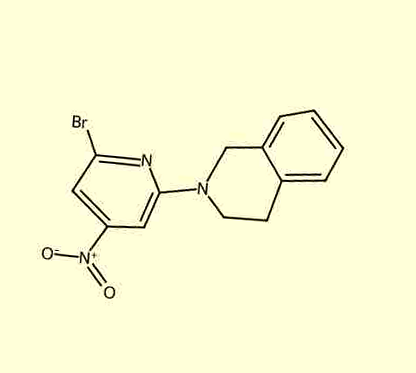 O=[N+]([O-])c1cc(Br)nc(N2CCc3ccccc3C2)c1